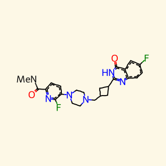 CNC(=O)c1ccc(N2CCN(CC3CC(c4nc5ccc(F)cc5c(=O)[nH]4)C3)CC2)c(F)n1